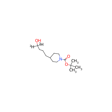 [2H]C([2H])(O)CCCC1CCN(C(=O)OC(C)(C)C)CC1